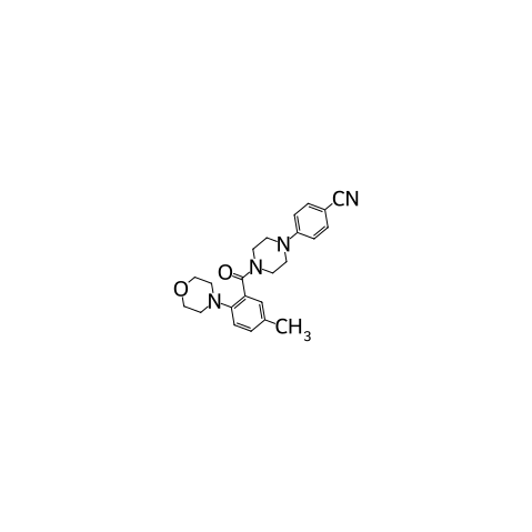 Cc1ccc(N2CCOCC2)c(C(=O)N2CCN(c3ccc(C#N)cc3)CC2)c1